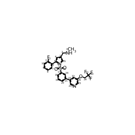 CNCc1cc(-c2ccccc2F)n(S(=O)(=O)c2cccc(-c3cncc(OCC(F)(F)F)c3)c2)c1